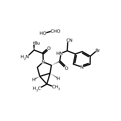 CC(C)(C)[C@H](N)C(=O)N1C[C@H]2[C@@H]([C@H]1C(=O)NC(C#N)c1cncc(Br)c1)C2(C)C.O=CO